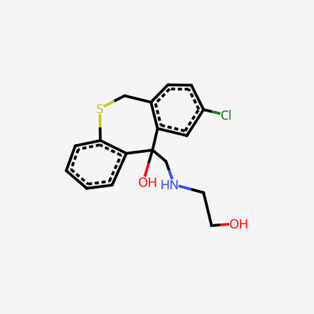 OCCNCC1(O)c2cc(Cl)ccc2CSc2ccccc21